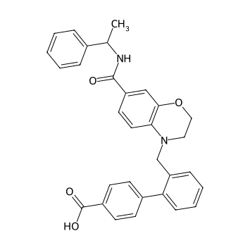 CC(NC(=O)c1ccc2c(c1)OCCN2Cc1ccccc1-c1ccc(C(=O)O)cc1)c1ccccc1